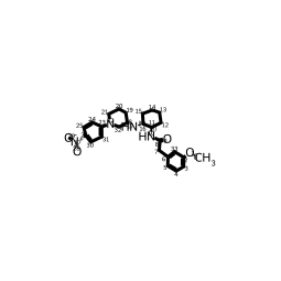 COc1cccc(CC(=O)N[C@@H]2CCCC[C@H]2NC2CCCN(c3ccc([N+](=O)[O-])cc3)C2)c1